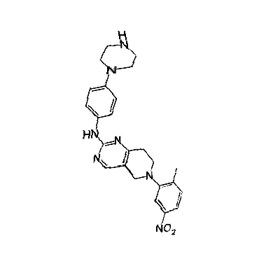 Cc1ccc([N+](=O)[O-])cc1N1CCc2nc(Nc3ccc(N4CCNCC4)cc3)ncc2C1